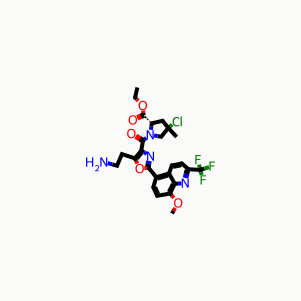 CCOC(=O)[C@@H]1CC(C)(Cl)CN1C(=O)c1nc(-c2ccc(OC)c3nc(C(F)(F)F)ccc23)oc1CCN